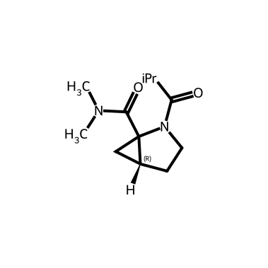 CC(C)C(=O)N1CC[C@@H]2CC21C(=O)N(C)C